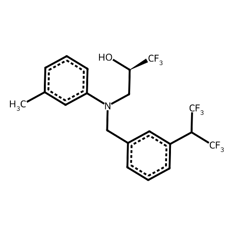 Cc1cccc(N(Cc2cccc(C(C(F)(F)F)C(F)(F)F)c2)C[C@@H](O)C(F)(F)F)c1